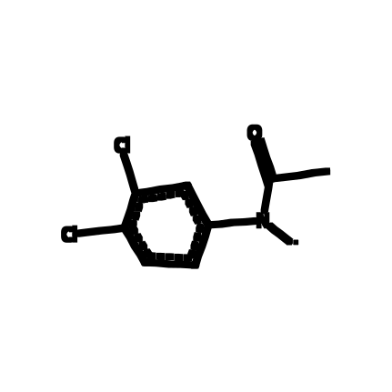 [CH2]N(C(C)=O)c1ccc(Cl)c(Cl)c1